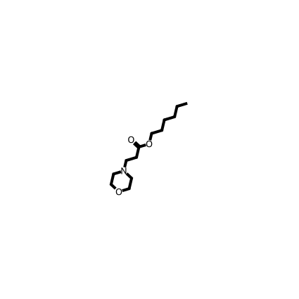 CCCCCCOC(=O)CCN1CCOCC1